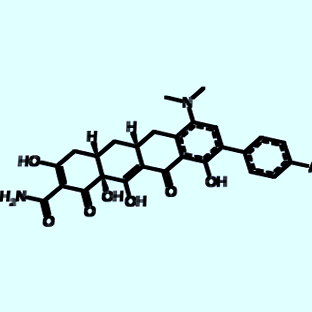 CC(=O)c1ccc(-c2cc(N(C)C)c3c(c2O)C(=O)C2=C(O)[C@]4(O)C(=O)C(C(N)=O)=C(O)C[C@@H]4C[C@@H]2C3)cc1